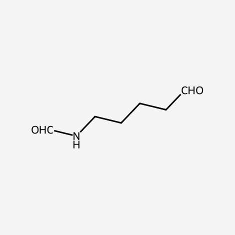 O=CCCCCNC=O